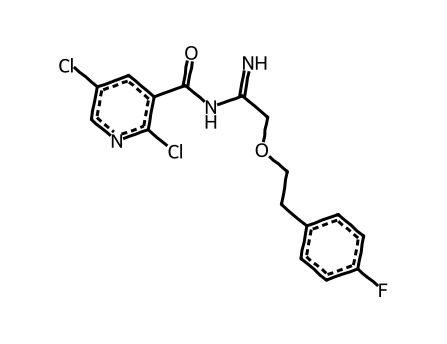 N=C(COCCc1ccc(F)cc1)NC(=O)c1cc(Cl)cnc1Cl